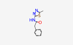 Cc1nnc(NC(=O)Cc2ccccc2)s1